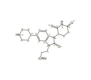 COCCn1c(=O)n(C2CCC(=O)NC2=O)c2ccc(C3CCNCC3)cc21